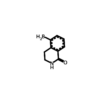 Bc1cccc2c1CCNC2=O